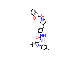 COc1ccccc1CCC(=O)N1CCC(Cc2cccc(NC(=O)Nc3cc(C(C)(C)C)nn3-c3ccc(C)cc3)c2)CC1